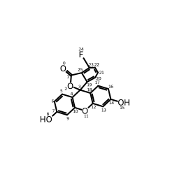 O=C1OC2(c3ccc(O)cc3Oc3cc(O)ccc32)c2cccc(F)c21